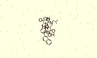 CC(C)CN(CC(O)C(=O)NO)C(=O)N[C@@H](Cc1ccc(-c2ccc3ccccc3c2)cc1)C(=O)O